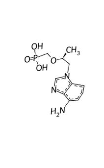 C[C@@H](Cn1cnc2c(N)cccc21)OCP(=O)(O)O